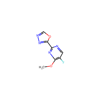 COc1nc(-c2nnco2)ncc1F